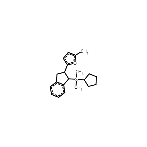 Cc1ccc(C2Cc3ccccc3C2S(C)(C)C2CCCC2)o1